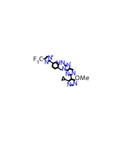 COc1ncnc(C2CC2)c1-c1ncc2c(n1)n(Cc1ccc(-c3nc(C(F)(F)F)cn3C)cc1)c(=N)n2C